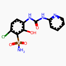 NS(=O)(=O)c1c(Cl)ccc(NC(=O)Nc2ccccn2)c1O